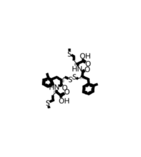 CSCC[C@H](NC(=O)[C@@H](CSSC[C@@H](Cc1ccccc1C)C(=O)N[C@H](CCSC)C(=O)O)Cc1ccccc1C)C(=O)O